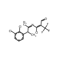 C/C(=N/C(Cl)=C(\C=O)C(F)(F)F)N(C)c1cccc(Cl)c1Cl